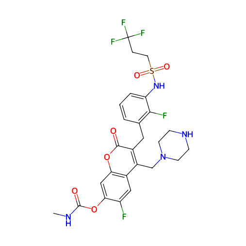 CNC(=O)Oc1cc2oc(=O)c(Cc3cccc(NS(=O)(=O)CCC(F)(F)F)c3F)c(CN3CCNCC3)c2cc1F